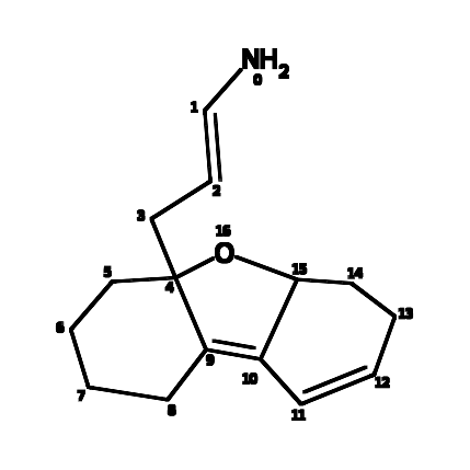 NC=CCC12CCCCC1=C1C=CCCC1O2